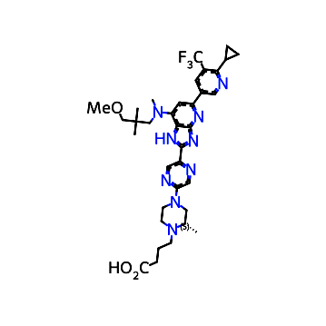 COCC(C)(C)CN(C)c1cc(-c2cnc(C3CC3)c(C(F)(F)F)c2)nc2nc(-c3cnc(N4CCN(CCCC(=O)O)[C@@H](C)C4)cn3)[nH]c12